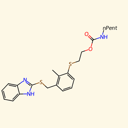 CCCCCNC(=O)OCCSc1cccc(CSc2nc3ccccc3[nH]2)c1C